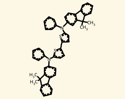 CC1(C)c2ccccc2-c2ccc(N(c3ccccc3)c3ccc(-c4ccc(N(c5ccccc5)c5ccc6c(c5)C(C)(C)c5ccccc5-6)s4)s3)cc21